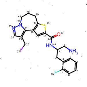 NCC(Cc1ccccc1F)NC(=O)c1cc2c(s1)CCCn1ncc(CI)c1-2